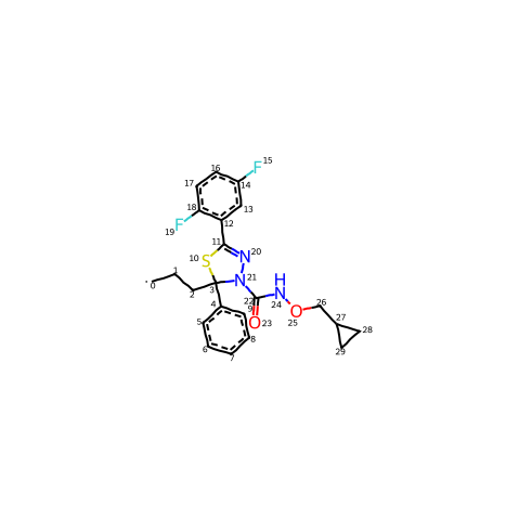 [CH2]CCC1(c2ccccc2)SC(c2cc(F)ccc2F)=NN1C(=O)NOCC1CC1